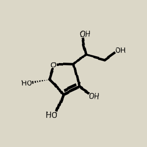 OCC(O)C1O[C@@H](O)C(O)=C1O